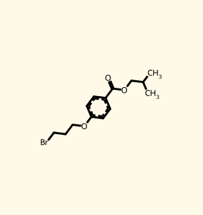 CC(C)COC(=O)c1ccc(OCCCBr)cc1